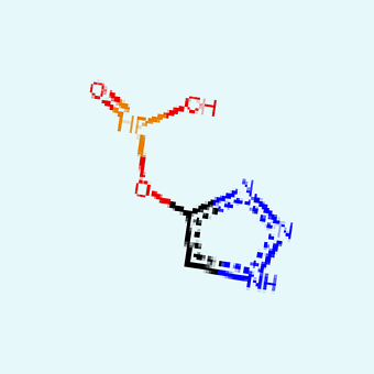 O=[PH](O)Oc1c[nH]nn1